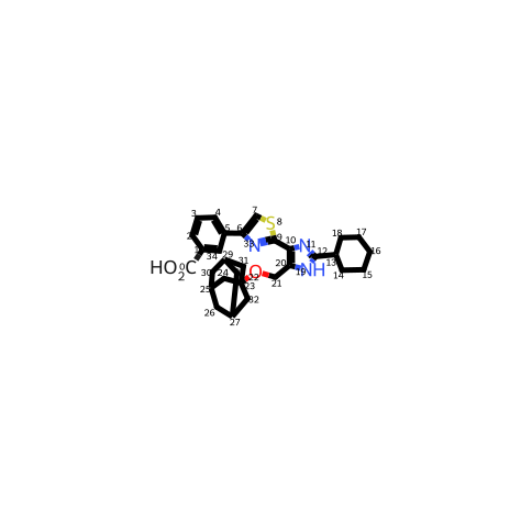 O=C(O)c1cccc(-c2csc(-c3nc(C4CCCCC4)[nH]c3COC34CC5CC(CC(C5)C3)C4)n2)c1